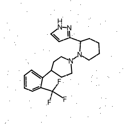 FC(F)(F)c1ccccc1C1CCN(N2CCCCC2c2cc[nH]n2)CC1